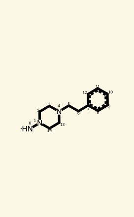 [NH]N1CCN(CCc2ccccc2)CC1